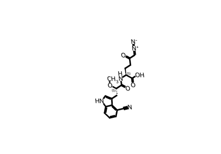 CO[C@@H](Cc1c[nH]c2cccc(C#N)c12)C(=O)N[C@@H](CCC(=O)C=[N+]=[N-])C(=O)O